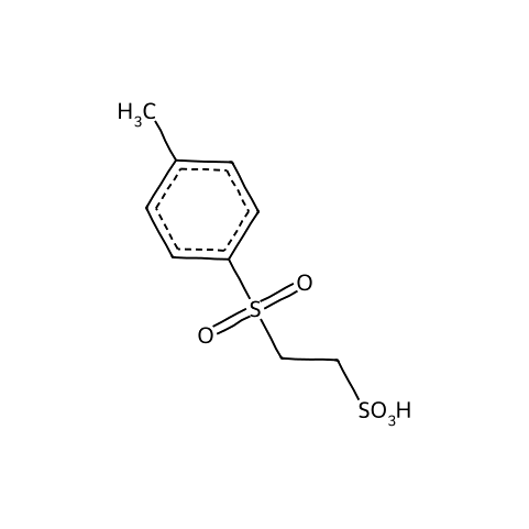 Cc1ccc(S(=O)(=O)CCS(=O)(=O)O)cc1